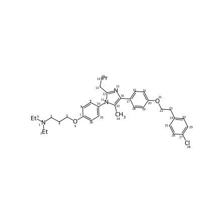 CCN(CC)CCCOc1ccc(-n2c(CC(C)C)nc(-c3ccc(OCCc4ccc(Cl)cc4)cc3)c2C)cc1